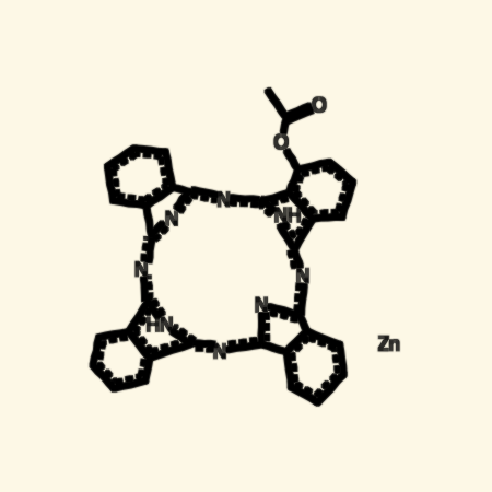 CC(=O)Oc1cccc2c3nc4nc(nc5[nH]c(nc6nc(nc([nH]3)c12)-c1ccccc1-6)c1ccccc51)-c1ccccc1-4.[Zn]